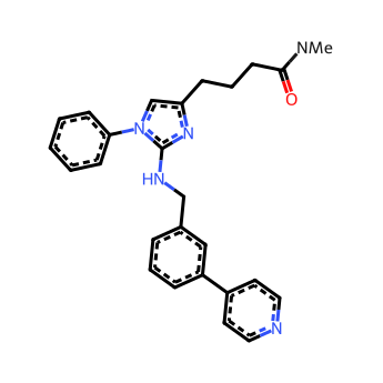 CNC(=O)CCCc1cn(-c2ccccc2)c(NCc2cccc(-c3ccncc3)c2)n1